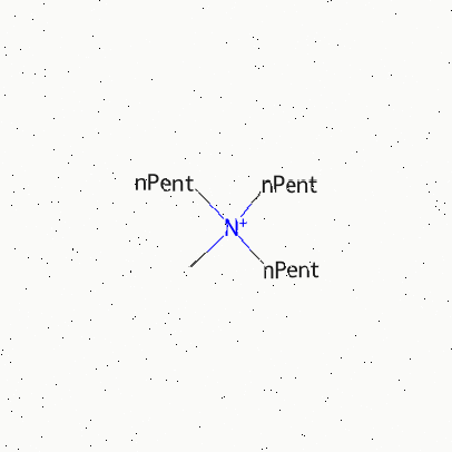 CCCCC[N+](C)(CCCCC)CCCCC